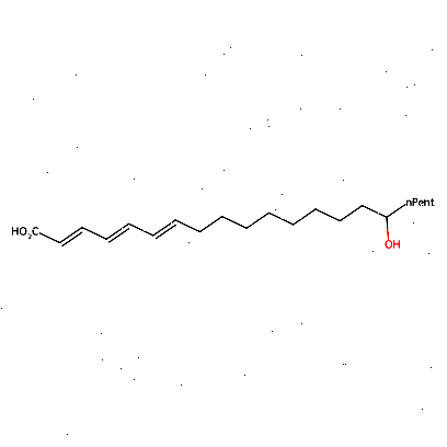 CCCCCC(O)CCCCCCCCC=CC=CC=CC(=O)O